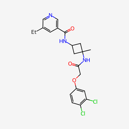 CCc1cncc(C(=O)NC2CC(C)(NC(=O)COc3ccc(Cl)c(Cl)c3)C2)c1